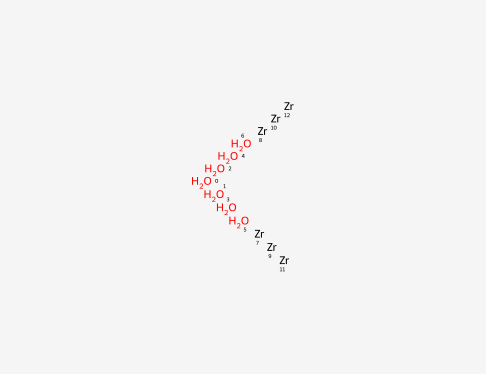 O.O.O.O.O.O.O.[Zr].[Zr].[Zr].[Zr].[Zr].[Zr]